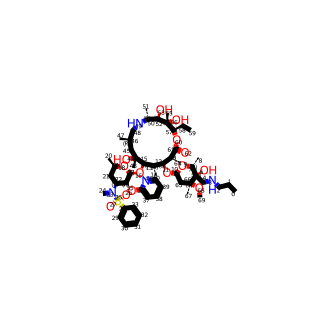 CCCNC[C@@]1(O)[C@@H](C)OC(O[C@H]2[C@H](C)[C@@H](O[C@@H]3O[C@H](C)C[C@H](N(C)S(=O)(=O)c4ccccc4)[C@H]3Oc3ccccn3)[C@](C)(O)C[C@@H](C)CN[C@H](C)[C@@H](O)[C@](C)(O)[C@@H](CC)OC(=O)[C@@H]2C)C[C@]1(C)OC